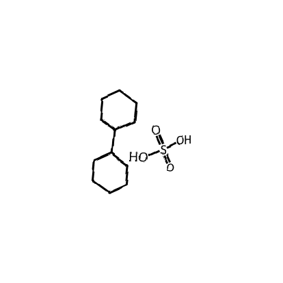 C1CCC(C2CCCCC2)CC1.O=S(=O)(O)O